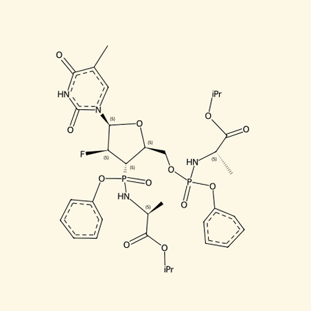 Cc1cn([C@H]2O[C@@H](COP(=O)(N[C@@H](C)C(=O)OC(C)C)Oc3ccccc3)[C@H](P(=O)(N[C@@H](C)C(=O)OC(C)C)Oc3ccccc3)[C@H]2F)c(=O)[nH]c1=O